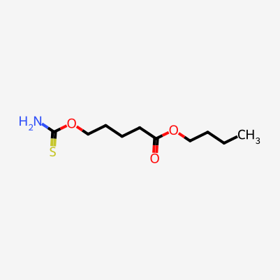 CCCCOC(=O)CCCCOC(N)=S